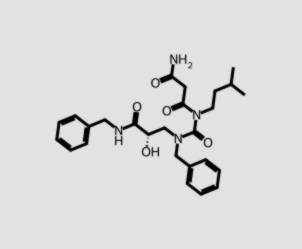 CC(C)CCN(C(=O)CC(N)=O)C(=O)N(Cc1ccccc1)C[C@H](O)C(=O)NCc1ccccc1